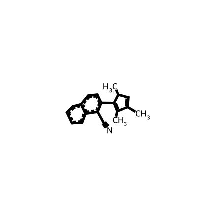 CC1=CC(C)C(c2ccc3ccccc3c2C#N)=C1C